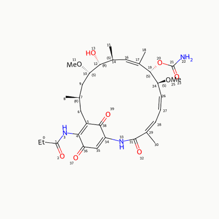 CCC(=O)NC1=C2C[C@@H](C)C[C@H](OC)[C@H](O)[C@@H](C)C=C(C)[C@H](OC(N)=O)[C@@H](OC)C=CC=C(C)C(=O)NC(=CC1=O)C2=O